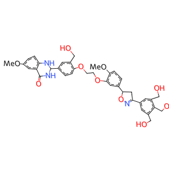 COc1ccc2c(c1)C(=O)NC(c1ccc(OCCOc3cc(C4CC(c5cc(CO)c(CO)c(CO)c5)=NO4)ccc3OC)c(CO)c1)N2